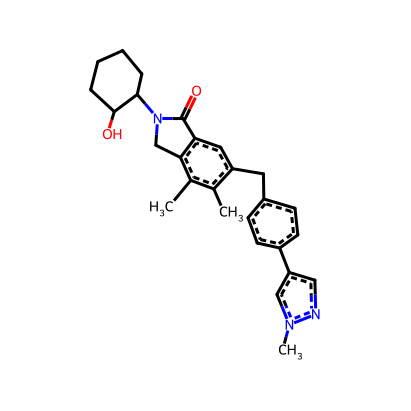 Cc1c(Cc2ccc(-c3cnn(C)c3)cc2)cc2c(c1C)CN(C1CCCCC1O)C2=O